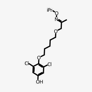 CC(COCCCCCOc1c(Cl)cc(O)cc1Cl)=NOC(C)C